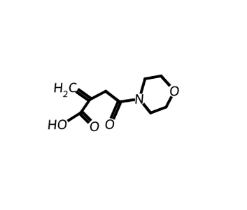 C=C(CC(=O)N1CCOCC1)C(=O)O